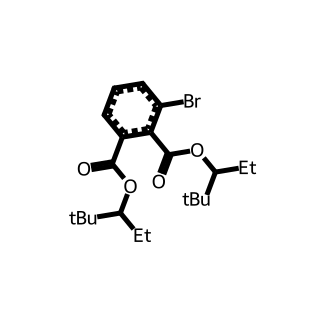 CCC(OC(=O)c1cccc(Br)c1C(=O)OC(CC)C(C)(C)C)C(C)(C)C